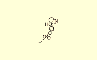 CCCCOC(=O)COc1ccc(C(CN(C)C)C2(O)CCCCC2)cc1